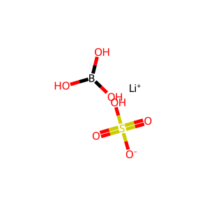 O=S(=O)([O-])O.OB(O)O.[Li+]